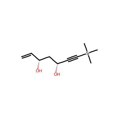 C=C[C@@H](O)C[C@@H](O)C#C[Si](C)(C)C